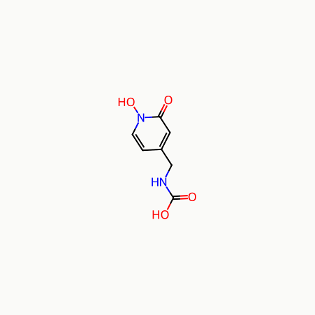 O=C(O)NCc1ccn(O)c(=O)c1